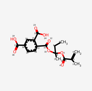 C=C(C)C(=O)OC(C)(CC)OC(=O)c1ccc(C(=O)O)cc1C(=O)O